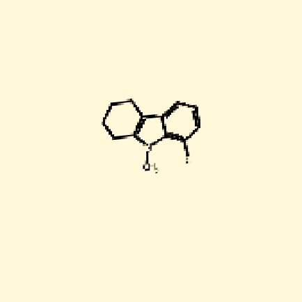 Cn1c2c(c3cccc(Cl)c31)C[CH]CC2